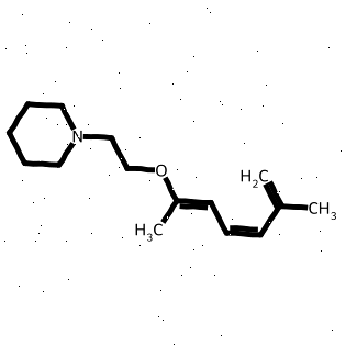 C=C(C)/C=C\C=C(/C)OCCN1CCCCC1